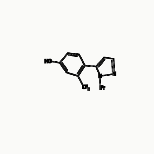 CC(C)n1nccc1-c1ccc(O)cc1C(F)(F)F